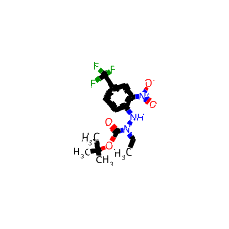 CCN(Nc1ccc(C(F)(F)F)cc1[N+](=O)[O-])C(=O)OC(C)(C)C